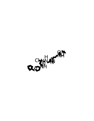 CC(C)(C)OC(=O)NCCCn1cc(CNc2nc(Cl)cc(NC3CCN(Cc4ccccc4)CC3)n2)nn1